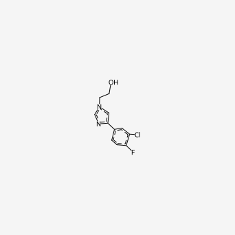 OCCn1cnc(-c2ccc(F)c(Cl)c2)c1